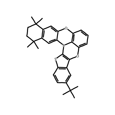 CC(C)(C)c1ccc2sc3c(c2c1)Oc1cccc2c1B3c1cc3c(cc1O2)C(C)(C)CCC3(C)C